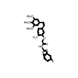 COc1cc(/C=C\c2ccc(C)c(OCC(=O)Nc3nc4ccc(F)cc4s3)c2)cc(OC)c1OC